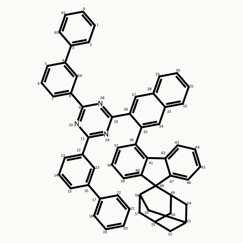 c1ccc(-c2cccc(-c3nc(-c4cccc(-c5ccccc5)c4)nc(-c4cc5ccccc5cc4-c4cccc5c4-c4ccccc4C54C5CC6CC(C5)CC4C6)n3)c2)cc1